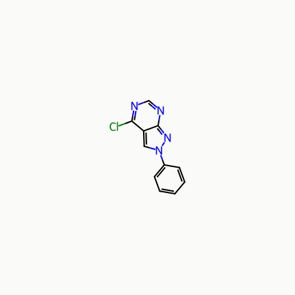 Clc1ncnc2nn(-c3ccccc3)cc12